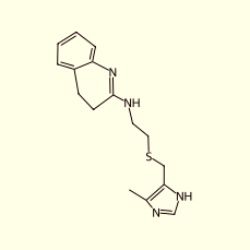 Cc1nc[nH]c1CSCCNC1=Nc2ccccc2CC1